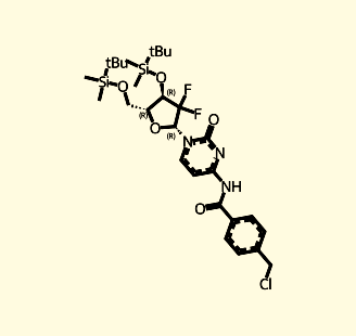 CC(C)(C)[Si](C)(C)OC[C@H]1O[C@@H](n2ccc(NC(=O)c3ccc(CCl)cc3)nc2=O)C(F)(F)[C@@H]1O[Si](C)(C)C(C)(C)C